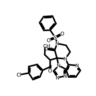 CCC(C(=O)c1ccc(Cl)cc1)C1(n2cnnc2)C(=O)N(S(=O)(=O)c2ccccc2)CCN1c1ccccn1